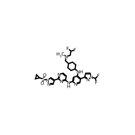 CN(CC(F)F)CC1CCC(Nc2cc(Nc3ccnc(-c4cnn(S(=O)(=O)C5CC5)c4)n3)ncc2-c2ccn(C(F)F)n2)CC1